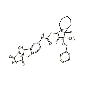 CN1C(=O)NC(=O)[C@@]12Cc1ccc(NC(=O)CN(C(=O)[C@](C)(OCc3ccccc3)C(F)(F)F)C3CCCCCC3)cc1C2